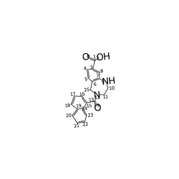 O=C(O)c1ccc2c(c1)NCCN(C(=O)c1cccc3ccccc13)C2